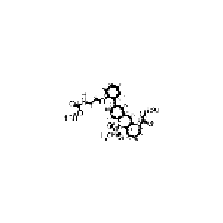 CC(C)(C)OC(=O)NCCOc1ccccc1-c1cccc(CC2C(NS(C)(=O)=O)CCCN2C(=O)OC(C)(C)C)c1